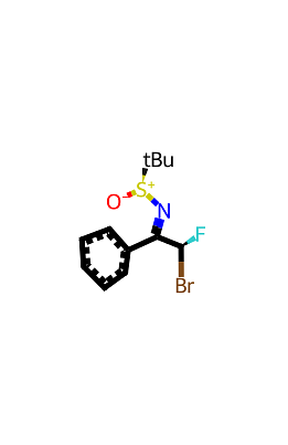 CC(C)(C)[S@+]([O-])/N=C(\c1ccccc1)[C@@H](F)Br